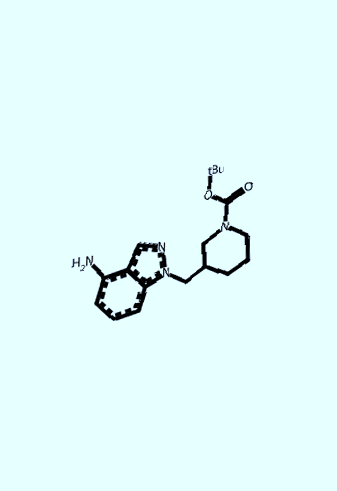 CC(C)(C)OC(=O)N1CCCC(Cn2ncc3c(N)cccc32)C1